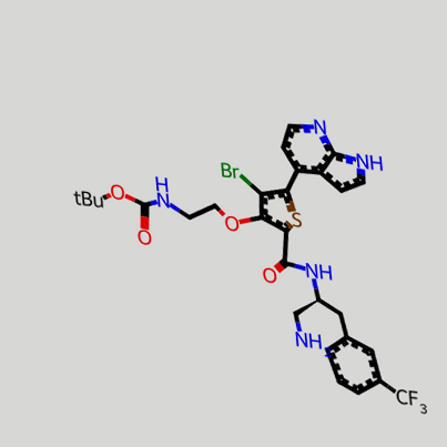 CC(C)(C)OC(=O)NCCOc1c(C(=O)N[C@H](CN)Cc2cccc(C(F)(F)F)c2)sc(-c2ccnc3[nH]ccc23)c1Br